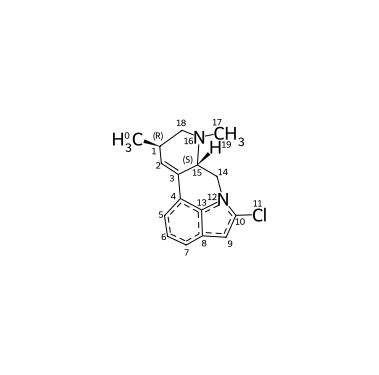 C[C@@H]1C=C2c3cccc4cc(Cl)n(c34)C[C@H]2N(C)C1